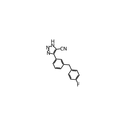 N#Cc1[nH]nnc1-c1cccc(Cc2ccc(F)cc2)c1